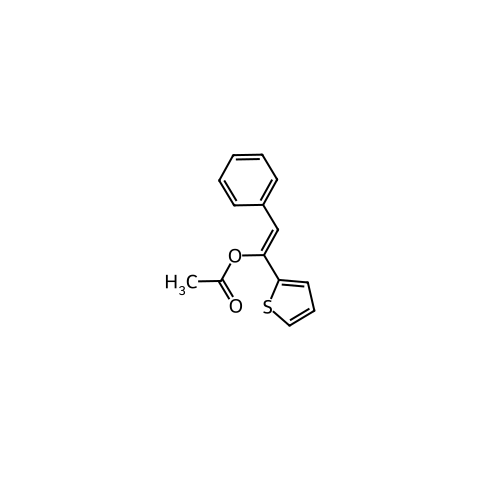 CC(=O)OC(=Cc1ccccc1)c1cccs1